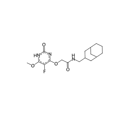 COc1[nH]c(=O)nc(OCC(=O)NCC2CC3CCCC(C3)C2)c1F